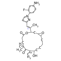 C/C(=C\c1ccn(-c2ccc(N)cc2F)n1)C1CC2OC2CCCCC(O)[C@@H](C)C(=O)C(C)(C)CCC(=O)O1